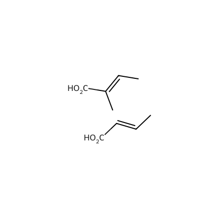 CC=C(C)C(=O)O.CC=CC(=O)O